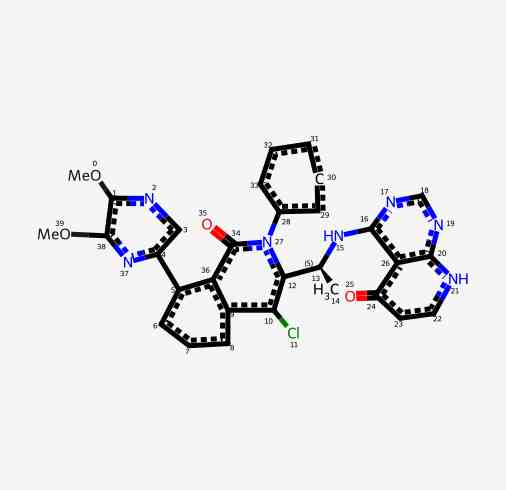 COc1ncc(-c2cccc3c(Cl)c([C@H](C)Nc4ncnc5[nH]ccc(=O)c45)n(-c4ccccc4)c(=O)c23)nc1OC